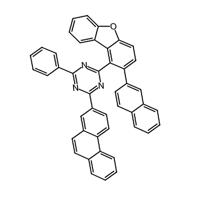 c1ccc(-c2nc(-c3ccc4c(ccc5ccccc54)c3)nc(-c3c(-c4ccc5ccccc5c4)ccc4oc5ccccc5c34)n2)cc1